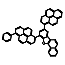 c1ccc(-c2ccc3ccc4c(-c5cc(-c6ccc7ccc8cccc9ccc6c7c89)cc6c5oc5c7ccccc7ccc65)ccc5ccc2c3c54)cc1